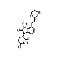 Cn1c(=O)n(C2CCC(=O)NC2=O)c2cccc(CC[C@@H]3CNCCO3)c21